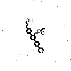 C=CC(=O)OCCc1cc(-c2ccc(C3CCCCC3)cc2)ccc1-c1ccc(CCCO)cc1